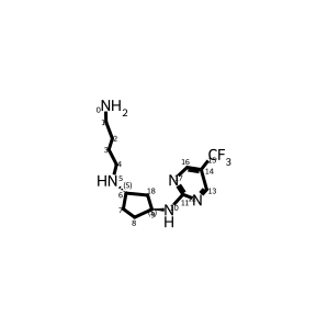 NCCCCN[C@H]1CC[C@H](Nc2ncc(C(F)(F)F)cn2)C1